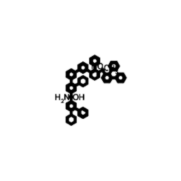 CC(O)(C1=CCCC(c2cccc(-c3cccc(-c4ccc(C(N)(O)c5ccc(C6CCCCC6)c(C6=C=C=CC=C6)c5)cc4C4CCCCC4)c3)c2)=C1c1ccccc1)c1cccc(-c2ccccc2)c1-c1ccccc1